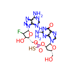 Nc1nc2c(ncn2[C@@H]2O[C@H](CO)CC2OP(=O)(S)OC[C@H]2O[C@@H](n3nnc4c(N)ncnc43)C(F)C2O)c(=O)[nH]1